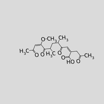 CO/C(=C/C(C)=O)C(=O)C(C)CC(C)C(=O)/C=C(/CC(C)=O)C(=O)O